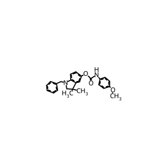 COc1ccc(NC(=O)Oc2ccc3c(c2)C(C)(C)CN3Cc2ccccc2)cc1